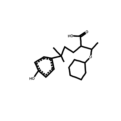 CC(OC1CCCCC1)C(CCC(C)(C)c1ccc(O)cc1)C(=O)O